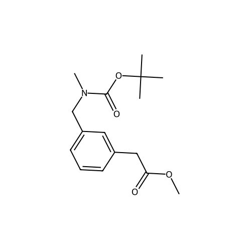 COC(=O)Cc1cccc(CN(C)C(=O)OC(C)(C)C)c1